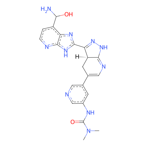 CN(C)C(=O)Nc1cncc(C2=CN=C3NN=C(c4nc5c(C(N)O)ccnc5[nH]4)[C@@H]3C2)c1